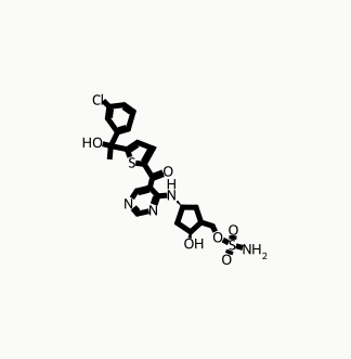 CC(O)(c1cccc(Cl)c1)c1ccc(C(=O)c2cncnc2N[C@@H]2CC(COS(N)(=O)=O)[C@@H](O)C2)s1